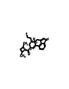 CC1CC(C)N1C(=O)[C@@H]1C=C2c3cccc4[nH]cc(c34)C[C@H]2N(CCF)C1